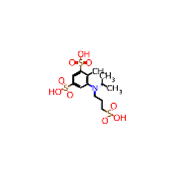 CC(C)=[N+](CCCS(=O)(=O)O)c1cc(S(=O)(=O)O)cc(S(=O)(=O)O)c1C